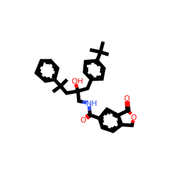 CC(C)(C)c1ccc(CC(O)(CNC(=O)c2ccc3c(c2)C(=O)OC3)CC(C)(C)c2ccccc2)cc1